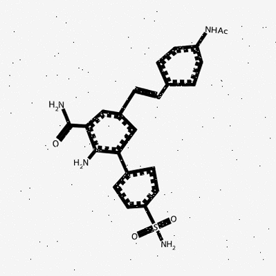 CC(=O)Nc1ccc(C=Cc2cc(C(N)=O)c(N)c(-c3ccc(S(N)(=O)=O)cc3)c2)cc1